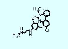 CCN1C(=O)N(c2c(F)cc(NCCNC)cc2F)c2cc(Cl)ccc2-c2cccnc21